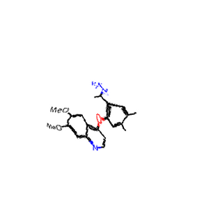 COc1cc2nccc(Oc3cc(C)c(C)cc3/C(C)=N/N)c2cc1OC